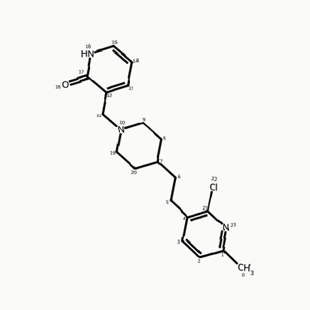 Cc1ccc(CCC2CCN(Cc3ccc[nH]c3=O)CC2)c(Cl)n1